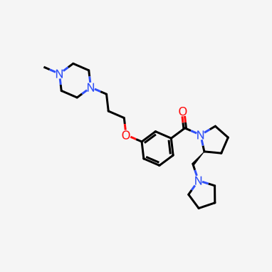 CN1CCN(CCCOc2cccc(C(=O)N3CCC[C@H]3CN3CCCC3)c2)CC1